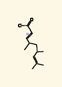 CC(C)=CC(C)CC(C)/C=C/C(=O)Cl